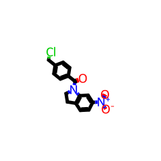 O=C(c1ccc(CCl)cc1)N1CCc2ccc([N+](=O)[O-])cc21